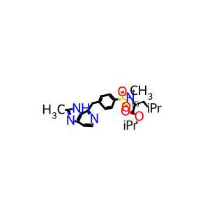 Cc1nc2ccnc(Cc3ccc(S(=O)(=O)N(C)[C@@H](CC(C)C)C(=O)OC(C)C)cc3)c2[nH]1